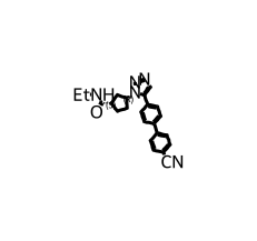 CCNC(=O)[C@H]1CC[C@@H](n2nncc2-c2ccc(-c3ccc(C#N)cc3)cc2)C1